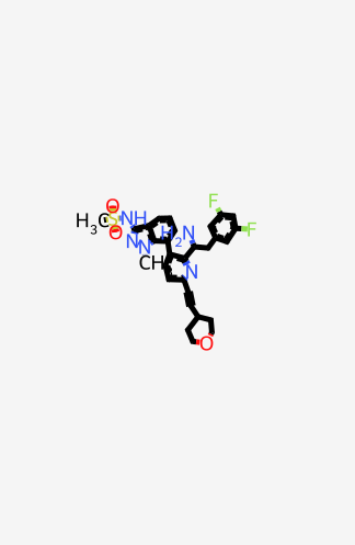 Cn1nc(NS(C)(=O)=O)c2cccc(-c3ccc(C#CC4CCOCC4)nc3C(N)Cc3cc(F)cc(F)c3)c21